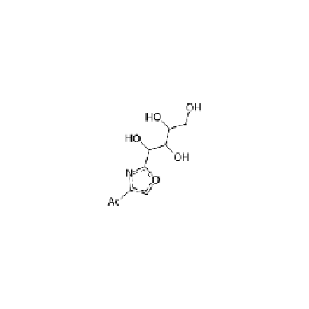 CC(=O)c1coc(C(O)C(O)C(O)CO)n1